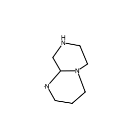 C1C[N]C2CNCCN2C1